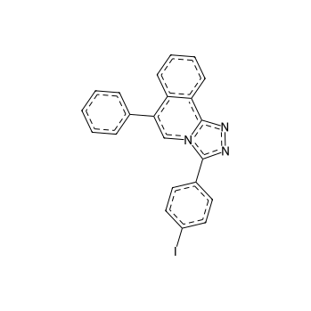 Ic1ccc(-c2nnc3c4ccccc4c(-c4ccccc4)cn23)cc1